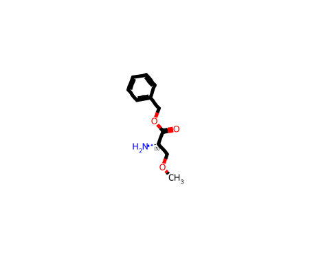 COC[C@H](N)C(=O)OCc1ccccc1